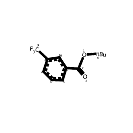 CCCCOC(=O)c1cccc(C(F)(F)F)c1